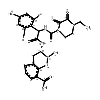 CCN1CCN(C(=O)NC(C(=O)N[C@H]2Cc3cccc(C(=O)O)c3OB2O)c2c(F)cc(O)cc2F)C(=O)C1=O